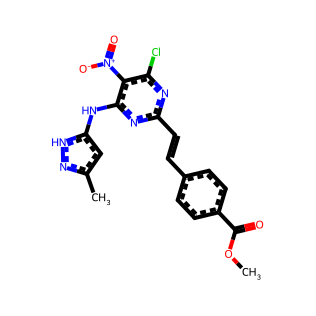 COC(=O)c1ccc(/C=C/c2nc(Cl)c([N+](=O)[O-])c(Nc3cc(C)n[nH]3)n2)cc1